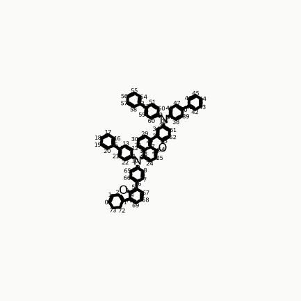 C1=Cc2oc3c(-c4ccc(N(c5ccc(-c6ccccc6)cc5)c5ccc6c7c(cccc57)-c5cc(N(c7ccc(-c8ccccc8)cc7)c7ccc(-c8ccccc8)cc7)ccc5O6)cc4)cccc3c2CC1